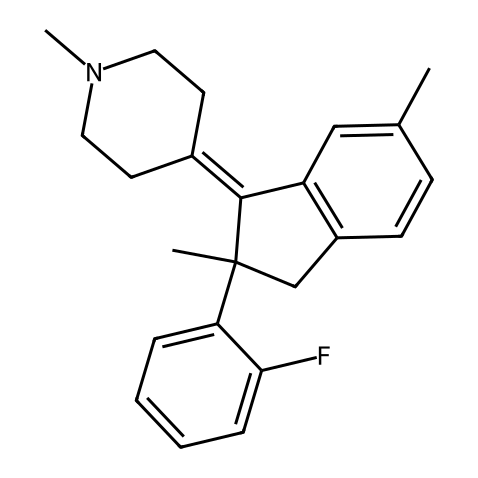 Cc1ccc2c(c1)C(=C1CCN(C)CC1)C(C)(c1ccccc1F)C2